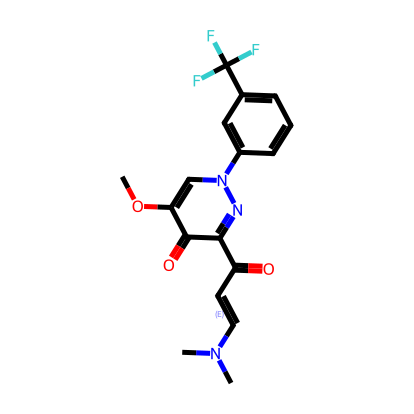 COc1cn(-c2cccc(C(F)(F)F)c2)nc(C(=O)/C=C/N(C)C)c1=O